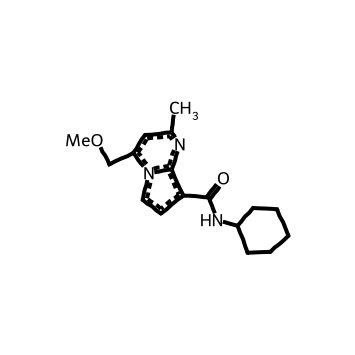 COCc1cc(C)nc2c(C(=O)NC3CCCCC3)ccn12